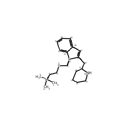 C[Si](C)(C)CCOCn1c(CC2CCCCN2)cc2ccccc21